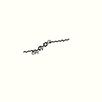 CCCCCCCCCCCCOc1ccc(-c2ccc(CCC(O)CCCCCC)cn2)cc1